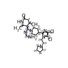 C=C1NC(=O)C[C@@H](C)/C1=C(/N=C\N)N1CCC(c2nc(Cl)c(Cl)n2CCN2CCCC2)CC1